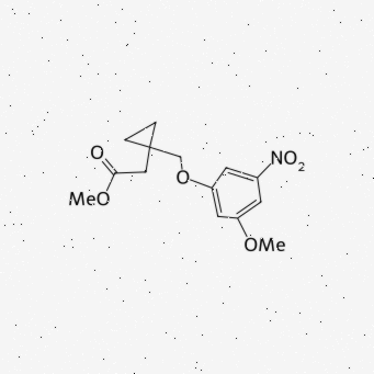 COC(=O)CC1(COc2cc(OC)cc([N+](=O)[O-])c2)CC1